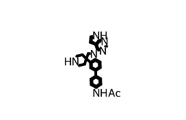 CC(=O)Nc1ccc(-c2ccc3c(c2)C2(CCNCC2)CN3c2ncnc3[nH]ccc23)cc1